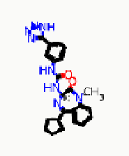 CN1C(=O)[C@H](NC(=O)Nc2cccc(-c3nnn[nH]3)c2)N=C(C2CCCC2)c2ccccc21